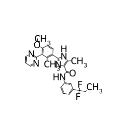 CCC(F)(F)c1cccc(NC(=O)c2nc(-c3ccc(OC)c(-c4ncccn4)c3C)[nH]c2C)c1